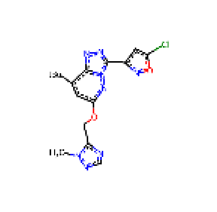 Cn1ncnc1COc1cc(C(C)(C)C)c2nnc(-c3cc(Cl)on3)n2n1